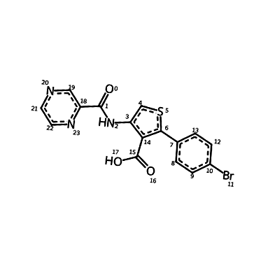 O=C(Nc1csc(-c2ccc(Br)cc2)c1C(=O)O)c1cnccn1